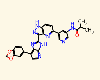 CC(C)C(=O)Nc1cncc(-c2ccc3[nH]nc(-c4nc5c(-c6ccc7c(c6)OCO7)ccnc5[nH]4)c3n2)c1